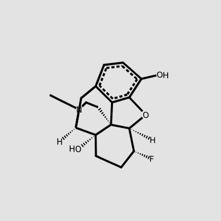 CN1CC[C@]23c4c5ccc(O)c4O[C@H]2[C@H](F)CC[C@@]3(O)[C@H]1C5